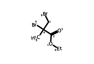 CCOC(=O)C(C)(Br)CBr